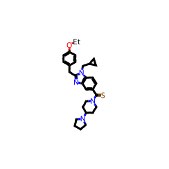 CCOc1ccc(Cc2nc3cc(C(=S)N4CCC(N5CCCC5)CC4)ccc3n2CC2CC2)cc1